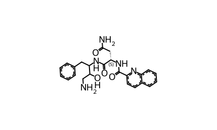 NCC(O)C(Cc1ccccc1)NC(=O)[C@H](CC(N)=O)NC(=O)c1ccc2ccccc2n1